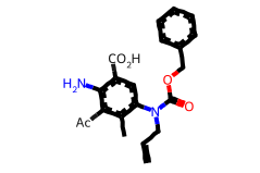 C=CCN(C(=O)OCc1ccccc1)c1cc(C(=O)O)c(N)c(C(C)=O)c1C